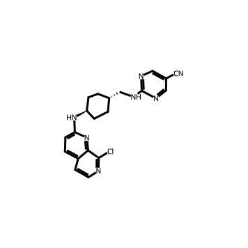 N#Cc1cnc(NC[C@H]2CC[C@H](Nc3ccc4ccnc(Cl)c4n3)CC2)nc1